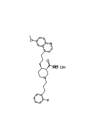 COc1ccc2nccc(CCC[C@@H]3CCN(CCCc4ccccc4F)C[C@@H]3C(=O)O)c2c1.Cl.Cl